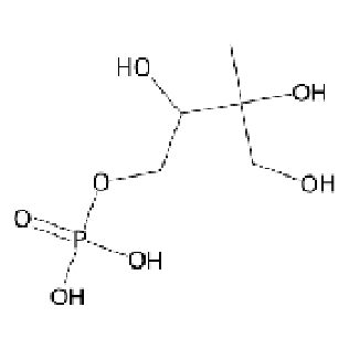 CC(O)(CO)C(O)COP(=O)(O)O